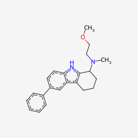 COCCN(C)C1CCCc2c1[nH]c1ccc(-c3ccccc3)cc21